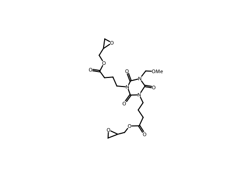 COCn1c(=O)n(CCCC(=O)OCC2CO2)c(=O)n(CCCC(=O)OCC2CO2)c1=O